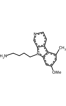 COc1cc(C)c2c3ccncc3n(CCCCN)c2c1